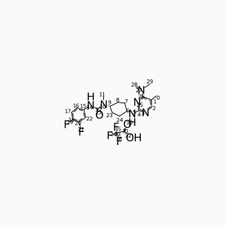 Cc1cnc(N[C@H]2CC[C@@H](N(C)C(=O)Nc3ccc(F)c(F)c3)CC2)nc1N(C)C.O=C(O)C(F)(F)F